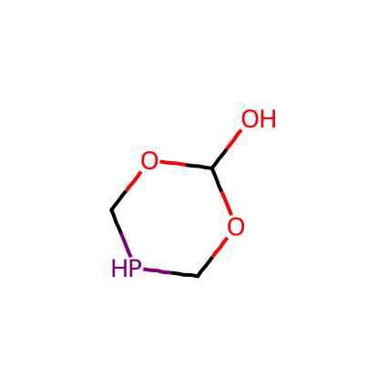 OC1OCPCO1